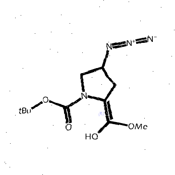 CO/C(O)=C1\CC(N=[N+]=[N-])CN1C(=O)OC(C)(C)C